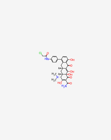 CN(C)[C@H]1C(O)=C(C(N)=O)C(=O)[C@@]2(O)C(O)=C3C(=O)c4c(O)ccc(-c5ccc(NC(=O)CCl)cc5)c4C[C@H]3C[C@@H]12